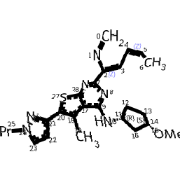 C=N/C(=C\C=C/C)c1nc(N[C@@H]2CC[C@H](OC)C2)c2c(C)c(-c3ccn(C(C)C)n3)sc2n1